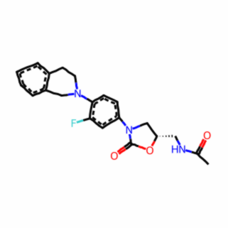 CC(=O)NC[C@H]1CN(c2ccc(N3CCc4ccccc4C3)c(F)c2)C(=O)O1